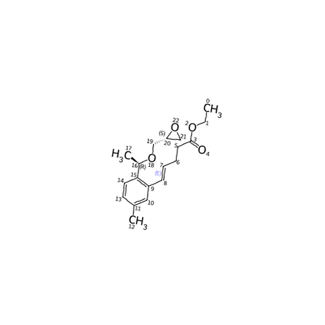 CCOC(=O)CC/C=C/c1cc(C)ccc1[C@@H](C)OC[C@H]1CO1